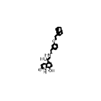 O=c1ccc2c([C@@H](O)CNCCc3cccc(OCCC4C5CC6CC(C5)CC4C6)c3)ccc(O)c2[nH]1